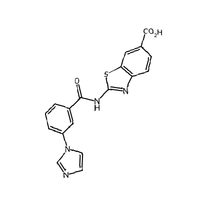 O=C(O)c1ccc2nc(NC(=O)c3cccc(-n4ccnc4)c3)sc2c1